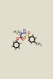 Cc1ccc(S(=O)(=O)N[C@@H](C)C(=O)Oc2cc[c]cc2)cc1